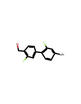 CCCc1ccc(-c2ccc(CBr)c(F)c2)c(F)c1